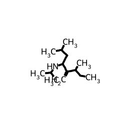 C=C(C(C)CC)C(CC(C)C)NC(C)C